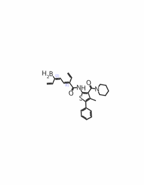 B/C(C=C)=C/C=C(\C=C)C(=O)Nc1sc(-c2ccccc2)c(C)c1C(=O)N1CCCCC1